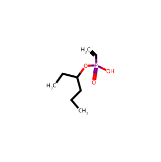 C=CP(=O)(O)OC(CC)CCC